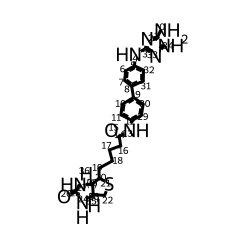 Nc1nc(Nc2ccc(-c3ccc(NC(=O)CCCCC4SC[C@@H]5NC(=O)N[C@H]45)cc3)cc2)n[nH]1